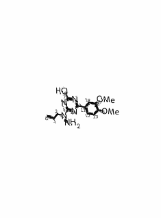 C=CCN(N)c1nc(O)nc(-c2ccc(OC)c(OC)c2)n1